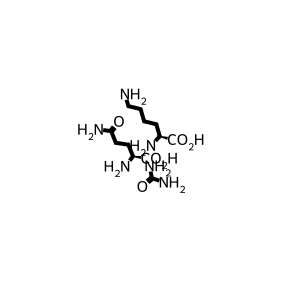 NC(=O)CC[C@H](N)C(=O)O.NC(N)=O.NCCCC[C@H](N)C(=O)O